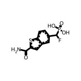 NC(=O)c1cc2cc(C(F)P(=O)(O)O)ccc2s1